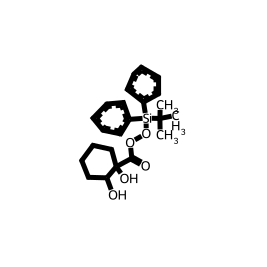 CC(C)(C)[Si](OOC(=O)C1(O)CCCCC1O)(c1ccccc1)c1ccccc1